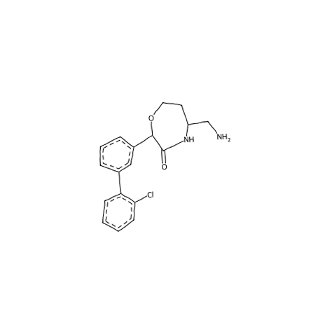 NCC1CCOC(c2cccc(-c3ccccc3Cl)c2)C(=O)N1